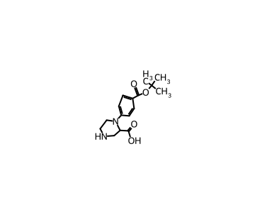 CC(C)(C)OC(=O)c1ccc(N2CCNCC2C(=O)O)cc1